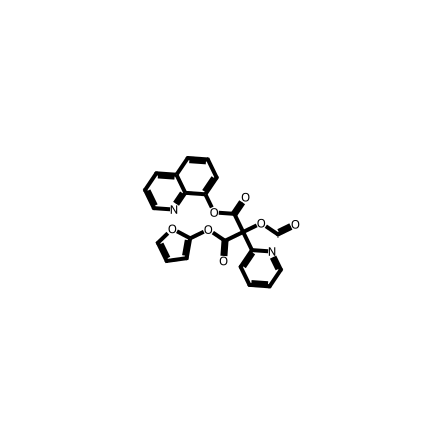 O=[C]OC(C(=O)Oc1ccco1)(C(=O)Oc1cccc2cccnc12)c1ccccn1